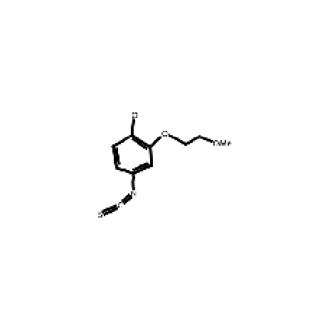 COCCOc1cc(N=C=S)ccc1Cl